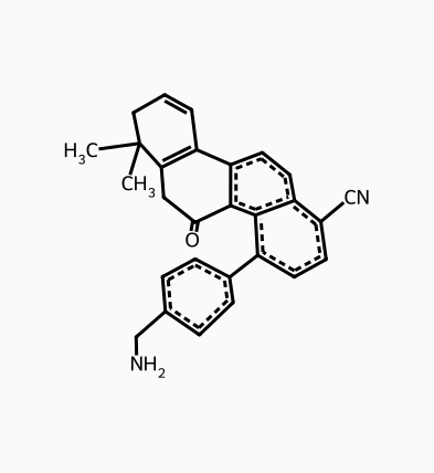 CC1(C)CC=CC2=C1CC(=O)c1c2ccc2c(C#N)ccc(-c3ccc(CN)cc3)c12